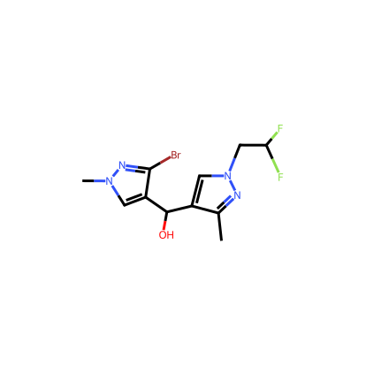 Cc1nn(CC(F)F)cc1C(O)c1cn(C)nc1Br